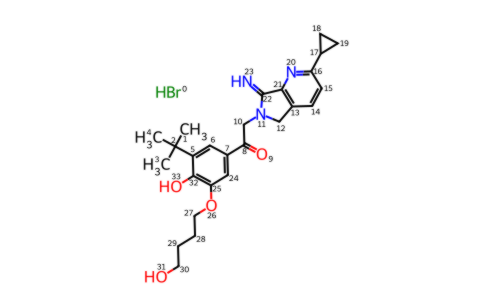 Br.CC(C)(C)c1cc(C(=O)CN2Cc3ccc(C4CC4)nc3C2=N)cc(OCCCCO)c1O